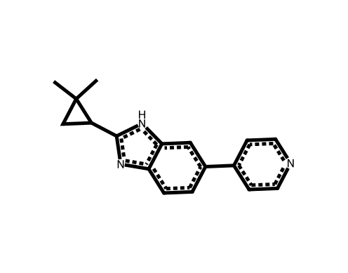 CC1(C)CC1c1nc2ccc(-c3ccncc3)cc2[nH]1